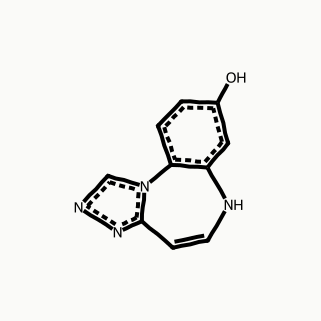 Oc1ccc2c(c1)NC=Cc1nncn1-2